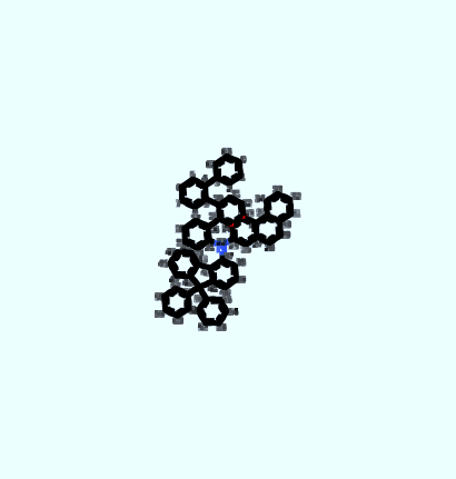 c1ccc(-c2ccccc2-c2ccccc2-c2ccccc2N(c2ccc3c(ccc4ccccc43)c2)c2cccc3c2-c2ccccc2C3(c2ccccc2)c2ccccc2)cc1